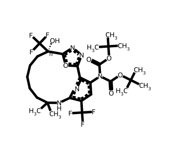 CC1(C)CCCCC[C@@](O)(C(F)(F)F)c2nnc(o2)-c2nc(c(C(F)(F)F)cc2N(C(=O)OC(C)(C)C)C(=O)OC(C)(C)C)N1